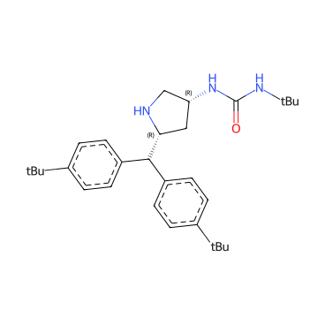 CC(C)(C)NC(=O)N[C@H]1CN[C@@H](C(c2ccc(C(C)(C)C)cc2)c2ccc(C(C)(C)C)cc2)C1